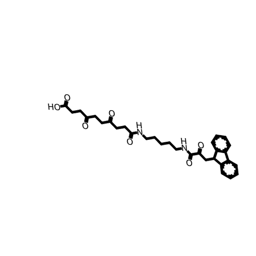 O=C(O)CCC(=O)CCC(=O)CCC(=O)NCCCCCNC(=O)C(=O)CC1c2ccccc2-c2ccccc21